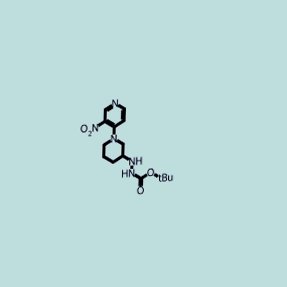 CC(C)(C)OC(=O)NNC1CCCN(c2ccncc2[N+](=O)[O-])C1